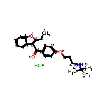 CCc1oc2ccccc2c1C(=O)c1ccc(OCCCNC(C)(C)C)cc1.Cl